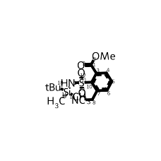 COC(=O)c1cccc(CC#N)c1S(=O)(=O)N[Si](C)(C)C(C)(C)C